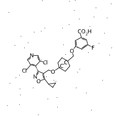 O=C(O)c1cc(F)cc(OCC23CCC(OCc4c(-c5c(Cl)cncc5Cl)noc4C4CC4)(CC2)CC3)c1